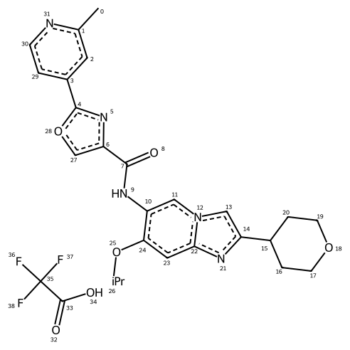 Cc1cc(-c2nc(C(=O)Nc3cn4cc(C5CCOCC5)nc4cc3OC(C)C)co2)ccn1.O=C(O)C(F)(F)F